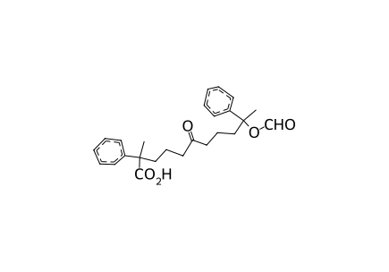 CC(CCCC(=O)CCCC(C)(C(=O)O)c1ccccc1)(OC=O)c1ccccc1